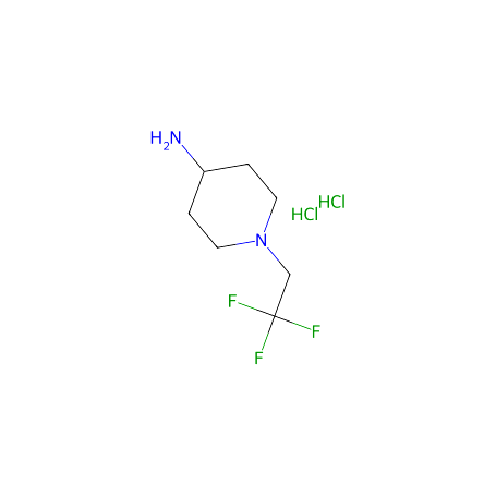 Cl.Cl.NC1CCN(CC(F)(F)F)CC1